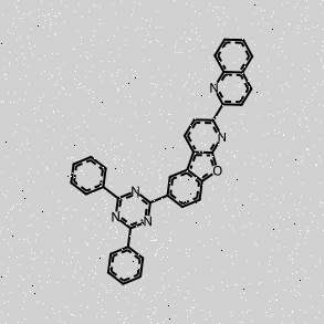 c1ccc(-c2nc(-c3ccccc3)nc(-c3ccc4oc5nc(-c6ccc7ccccc7n6)ccc5c4c3)n2)cc1